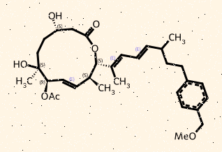 COCc1ccc(CCC(C)/C=C/C=C(\C)[C@H]2OC(=O)C[C@@H](O)CC[C@](C)(O)[C@H](OC(C)=O)/C=C/[C@@H]2C)cc1